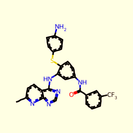 Cc1ccc2c(Nc3cc(NC(=O)c4cccc(C(F)(F)F)c4)ccc3Sc3ccc(N)cc3)ncnc2n1